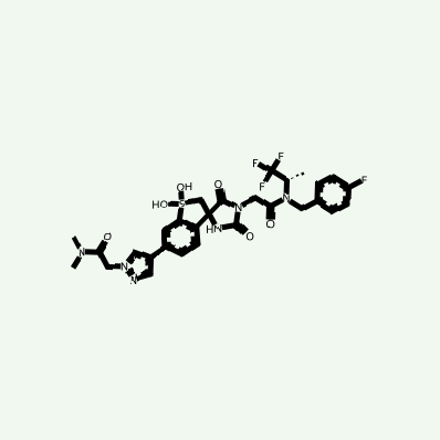 C[C@H](N(Cc1ccc(F)cc1)C(=O)CN1C(=O)NC2(CS(O)(O)c3cc(-c4cnn(CC(=O)N(C)C)c4)ccc32)C1=O)C(F)(F)F